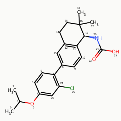 CC(C)Oc1ccc(-c2ccc3c(c2)CCC(C)(C)[C@H]3NC(=O)O)c(Cl)c1